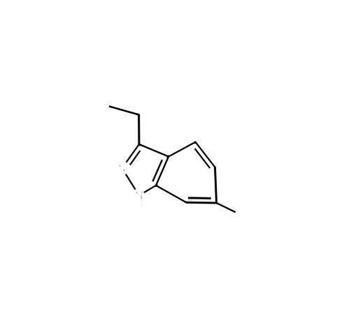 C[CH]c1n[nH]c2cc(F)ccc12